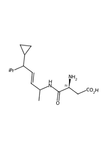 CC(C=CC(C(C)C)C1CC1)NC(=O)[C@@H](N)CC(=O)O